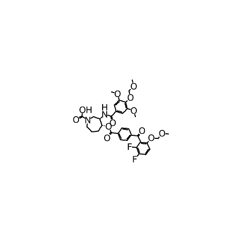 COCOc1ccc(F)c(F)c1C(=O)c1ccc(C(=O)O[C@@H]2CCCN(C(=O)O)C[C@H]2NC(=O)c2cc(OC)c(OCOC)c(OC)c2)cc1